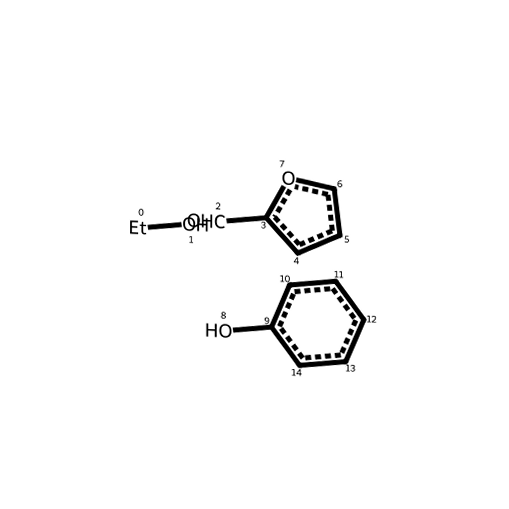 CCO.O=Cc1ccco1.Oc1ccccc1